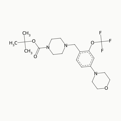 CC(C)(C)OC(=O)N1CCN(Cc2ccc(N3CCOCC3)cc2OC(F)(F)F)CC1